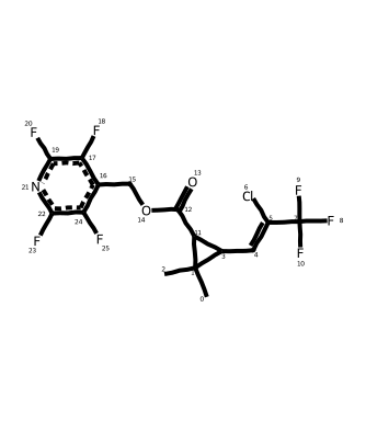 CC1(C)C(C=C(Cl)C(F)(F)F)C1C(=O)OCc1c(F)c(F)nc(F)c1F